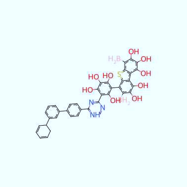 Bc1c(O)c(O)c2c(sc3c(B)c(O)c(O)c(O)c32)c1-c1c(O)c(O)c(O)c(/C(N=C)=N/C(=N)c2ccc(-c3cccc(C4C=CC=CC4)c3)cc2)c1O